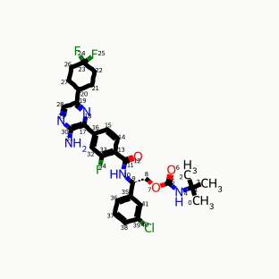 CC(C)(C)NC(=O)OC[C@@H](NC(=O)c1ccc(-c2nc(C3CCC(F)(F)CC3)cnc2N)cc1F)c1cccc(Cl)c1